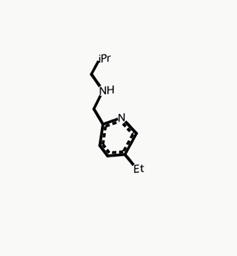 CCc1ccc(CNCC(C)C)nc1